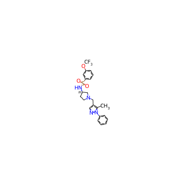 Cc1c(CN2CC[C@@H](NS(=O)(=O)c3cccc(OC(F)(F)F)c3)C2)cnn1-c1ccccc1